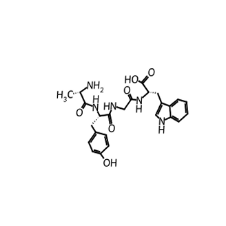 C[C@H](N)C(=O)N[C@@H](Cc1ccc(O)cc1)C(=O)NCC(=O)N[C@@H](Cc1c[nH]c2ccccc12)C(=O)O